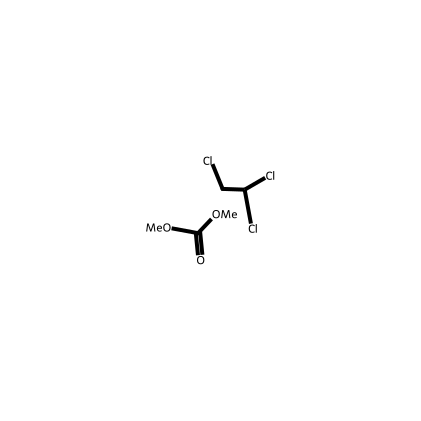 COC(=O)OC.ClCC(Cl)Cl